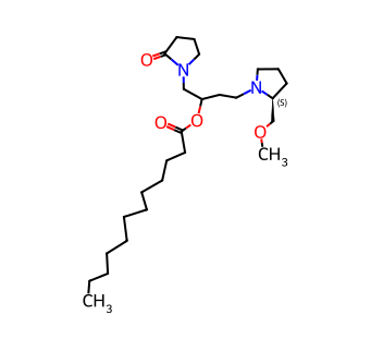 CCCCCCCCCCCC(=O)OC(CCN1CCC[C@H]1COC)CN1CCCC1=O